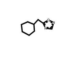 c1noc(CC2CCCCC2)n1